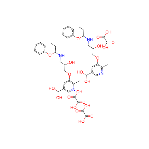 CCC(NCC(O)COc1cc(C(O)O)cnc1C)Oc1ccccc1.CCC(NCC(O)COc1cc(C(O)O)cnc1C)Oc1ccccc1.O=C(O)C(=O)O.O=C(O)C(=O)O.O=C(O)C(=O)O